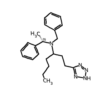 CCCCC(CCc1nn[nH]n1)N(Cc1ccccc1)[C@@H](C)c1ccccc1